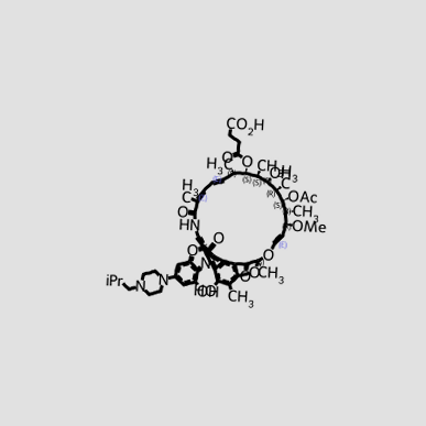 CO[C@H]1/C=C/O[C@@]2(C)Oc3c(C)c(O)c4c(=O)c(c5oc6cc(N7CCN(CC(C)C)CC7)cc(O)c6nc-5c4c3C2=O)NC(=O)/C(C)=C\C=C\[C@H](C)[C@H](OC(=O)CCC(=O)O)[C@@H](C)[C@@H](O)[C@@H](C)[C@H](OC(C)=O)[C@@H]1C